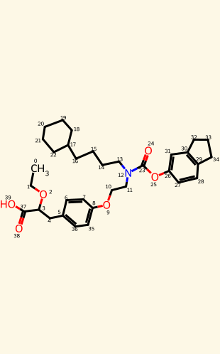 CCOC(Cc1ccc(OCCN(CCCCC2CCCCC2)C(=O)Oc2ccc3c(c2)CCC3)cc1)C(=O)O